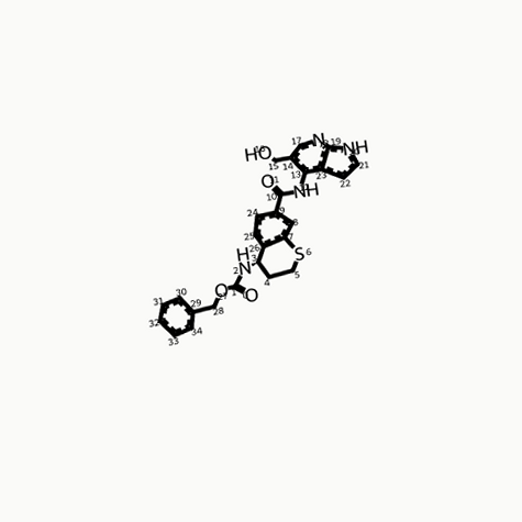 O=C(N[C@H]1CCSc2cc(C(=O)Nc3c(CO)cnc4[nH]ccc34)ccc21)OCc1ccccc1